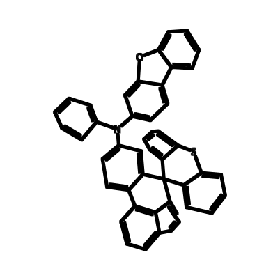 c1ccc(N(c2ccc3c(c2)C2(c4ccccc4Sc4ccccc42)c2cccc4cccc-3c24)c2ccc3c(c2)oc2ccccc23)cc1